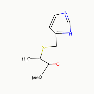 COC(=O)C(C)SCc1ccncn1